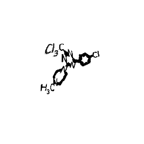 CN1CCCN(c2nc(-c3ccc(Cl)cc3)nc(C(Cl)(Cl)Cl)n2)CC1